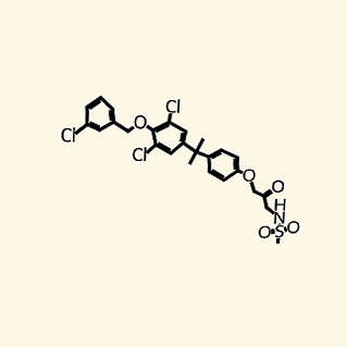 CC(C)(c1ccc(OCC(=O)CNS(C)(=O)=O)cc1)c1cc(Cl)c(OCc2cccc(Cl)c2)c(Cl)c1